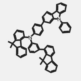 CC1(C)c2ccccc2-c2c(N(c3ccc(-c4ccc5c6ccccc6n(-c6ccccc6)c5c4)cc3)c3cccc(-c4cccc5c4C(C)(C)c4ccccc4-5)c3)cccc21